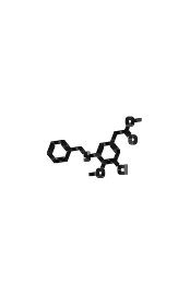 COC(=O)Cc1cc(Cl)c(OC)c(SCc2ccccc2)c1